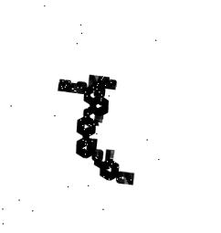 CNC(=O)C(CC1C=CC=CC1Cc1ccc(-c2cccc(OCc3ccc(C#N)cc3F)n2)cc1F)OC